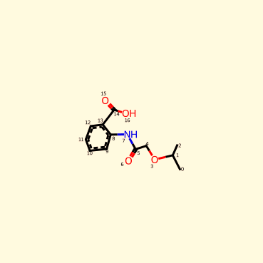 CC(C)OCC(=O)Nc1ccccc1C(=O)O